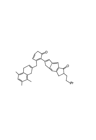 Cc1cc(C)c2c(c1C)CC(CC1=C(C3=Cc4cc5c(cc4C3)CC(CCC(C)C)C5=O)C(=O)CC=C1)=CC2